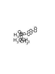 CC(C)(C)C1CCC2(C)B(c3ccccc3)c3ccc(-c4ccc5ccc6c(-c7cccc8ccccc78)ccc7ccc4c5c76)cc3C2C1